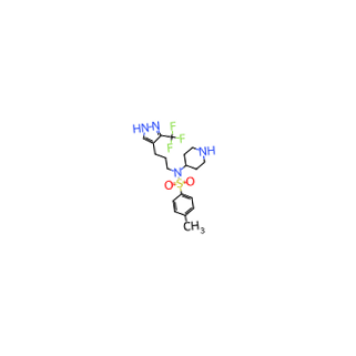 Cc1ccc(S(=O)(=O)N(CCCc2c[nH]nc2C(F)(F)F)C2CCNCC2)cc1